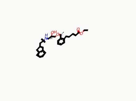 CCOC(=O)CCCCc1ccccc1[C@@H](C)OC[C@H](O)CNC(C)(C)CC1Cc2ccccc2C1